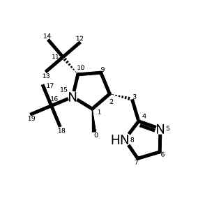 C[C@@H]1[C@@H](CC2=NCCN2)C[C@@H](C(C)(C)C)N1C(C)(C)C